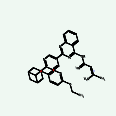 CCOc1ccc(CC2C3CC2CN(c2ccc(-c4nc(NC(=N)/C=C(/C)N)c5ccccc5n4)cn2)C3)cn1